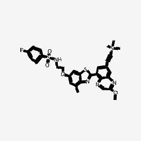 COc1cnc2c(-c3nc4c(C)cc(OCCNS(=O)(=O)c5ccc(F)cc5)cc4s3)cc(C#CS(C)(C)C)cc2n1